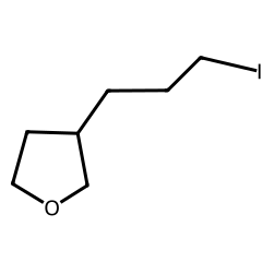 ICCCC1CCOC1